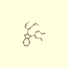 C=C/C=C\C(=C/C=C)n1c(C(/C=C\C)=C/C=C\C)nc2ccccc21